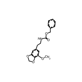 COc1cc(CCNC(=O)OCc2ccccc2)cc2c1OCO2